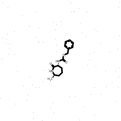 C[C@@H]1CCC[C@@H](NC(=O)OCc2ccccc2)C(=O)N1